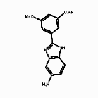 COc1cc(OC)cc(-c2nc3cc(N)ccc3[nH]2)c1